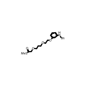 CSC(=O)COCCCOCCOc1cccc(NC(C)C)c1